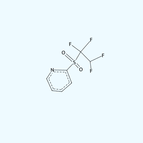 O=S(=O)(c1ccccn1)C(F)(F)C(F)F